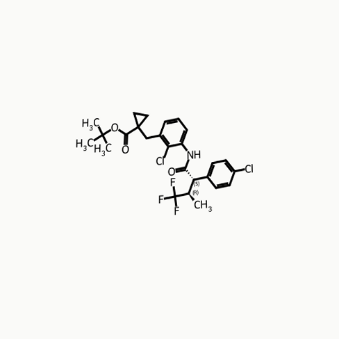 C[C@H]([C@H](C(=O)Nc1cccc(CC2(C(=O)OC(C)(C)C)CC2)c1Cl)c1ccc(Cl)cc1)C(F)(F)F